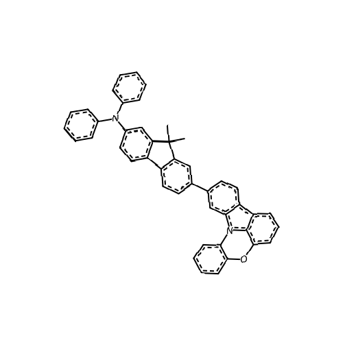 CC1(C)c2cc(-c3ccc4c5cccc6c5n(c4c3)-c3ccccc3O6)ccc2-c2ccc(N(c3ccccc3)c3ccccc3)cc21